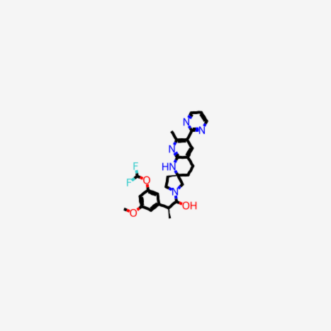 COc1cc(OC(F)F)cc([C@H](C)C(O)N2CC[C@@]3(CCc4cc(-c5ncccn5)c(C)nc4N3)C2)c1